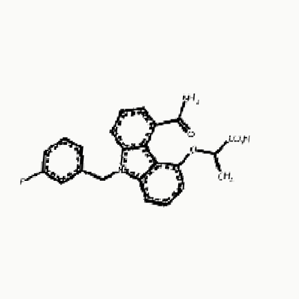 CC(Oc1cccc2c1c1c(C(N)=O)cccc1n2Cc1cccc(F)c1)C(=O)O